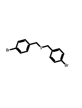 Brc1ccc(CSCc2ccc(Br)cc2)cc1